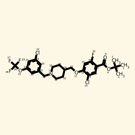 CC(C)(C)OC(=O)c1cc(Cl)c(OCC2CCN(Cc3cc(Cl)cc(OC(F)(F)F)c3)CC2)cc1F